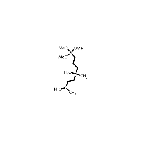 CO[Si](CCC[N+](C)(C)CCN(C)C)(OC)OC